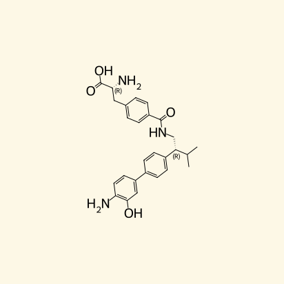 CC(C)[C@@H](CNC(=O)c1ccc(C[C@@H](N)C(=O)O)cc1)c1ccc(-c2ccc(N)c(O)c2)cc1